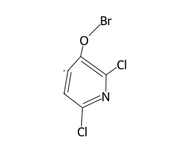 Clc1c[c]c(OBr)c(Cl)n1